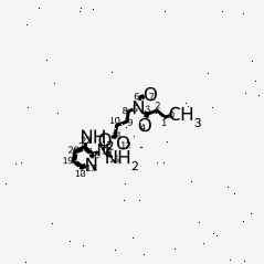 CCCC(=O)N(C=O)CCCC(=O)ON(N)c1ncccc1N